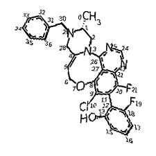 C[C@@H]1CN2/C(=C\COc3c(Cl)c(-c4c(O)cccc4F)c(F)c4ncnc2c34)CN1Cc1ccccc1